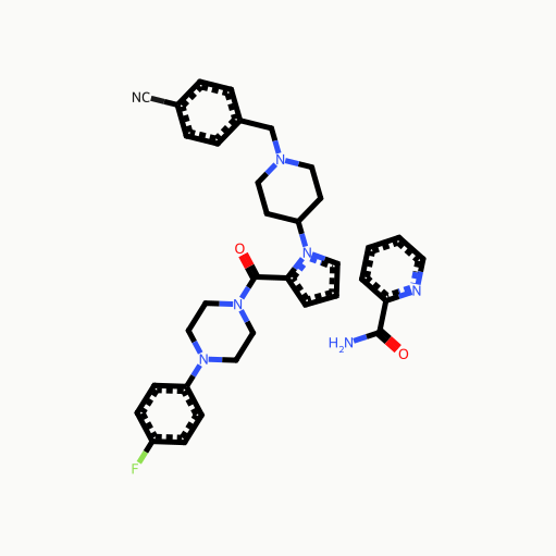 N#Cc1ccc(CN2CCC(n3cccc3C(=O)N3CCN(c4ccc(F)cc4)CC3)CC2)cc1.NC(=O)c1ccccn1